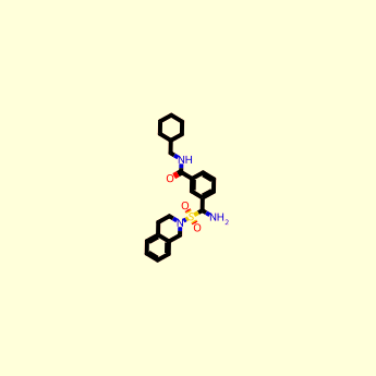 NC(c1cccc(C(=O)NCC2CCCCC2)c1)S(=O)(=O)N1CCc2ccccc2C1